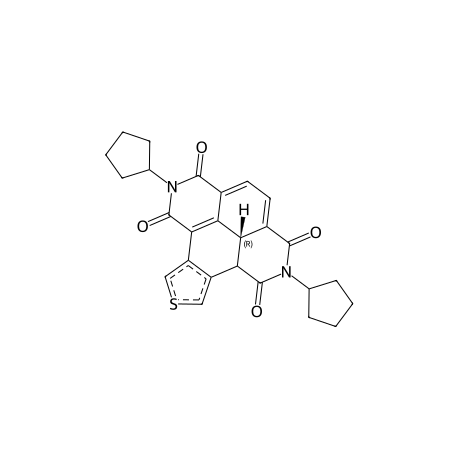 O=C1C2=CC=C3C(=O)N(C4CCCC4)C(=O)C4c5cscc5C(=C2[C@H]34)C(=O)N1C1CCCC1